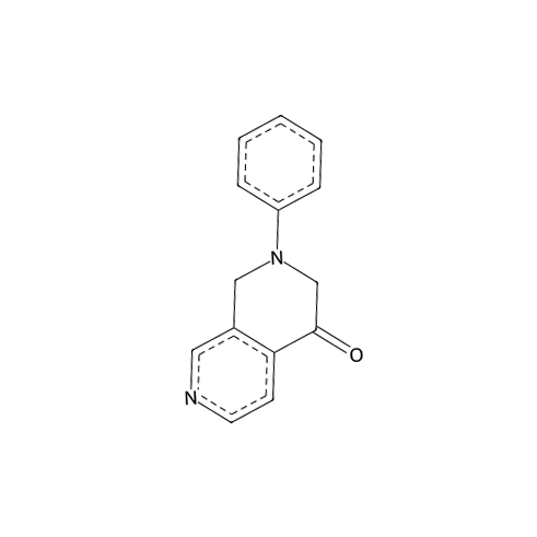 O=C1CN(c2ccccc2)Cc2cnccc21